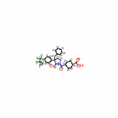 CC(F)(c1ccc2c(c1)OCC1N(C(=O)c3ccc(C(=O)O)cc3)CCC21Cc1ccccc1)C(F)(F)F